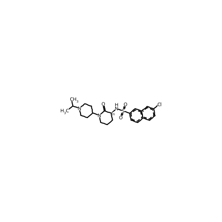 CC(C)N1CCC(N2CCC[C@H](NS(=O)(=O)c3ccc4ccc(Cl)cc4c3)C2=O)CC1